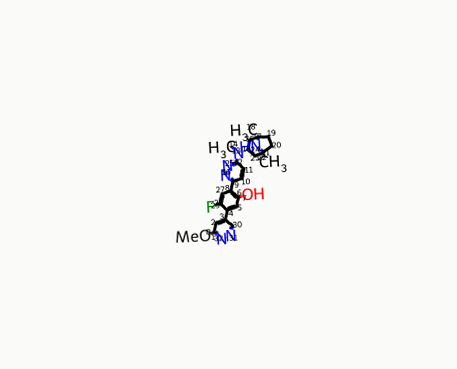 COc1cc(-c2cc(O)c(-c3ccc(N(C)[C@@H]4C[C@]5(C)CC[C@](C)(C4)N5)nn3)cc2F)cnn1